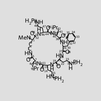 CNC1CCNC(=O)C(CC(C)C)NC(=O)C(CCNP)NC(=O)C(CCNP)NC(=O)C(Cc2ccccc2)NC(=O)C(CC(C)C)NC(=O)C(CCNP)NC1=O